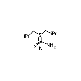 CC(C)C[SH](CC(C)C)C(N)=S.[Ni]